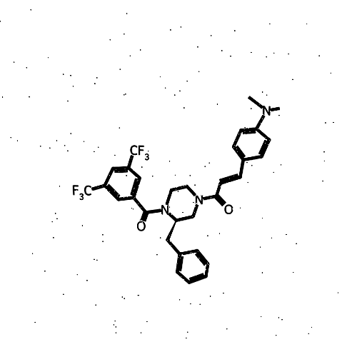 CN(C)c1ccc(/C=C/C(=O)N2CCN(C(=O)c3cc(C(F)(F)F)cc(C(F)(F)F)c3)[C@H](Cc3ccccc3)C2)cc1